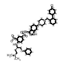 CN(C)CC[C@H](CSc1ccccc1)Nc1ccc(S(=O)(=O)Nc2n[nH]c3cc(N4CCN(Cc5ccccc5-c5ccc(Cl)cc5)CC4)ccc23)cc1[N+](=O)[O-]